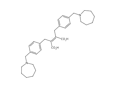 O=C(O)/C(Cc1ccc(CN2CCCCCC2)cc1)=C(/Cc1ccc(CN2CCCCCC2)cc1)C(=O)O